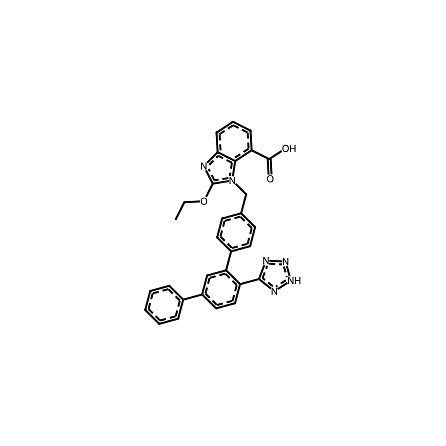 CCOc1nc2cccc(C(=O)O)c2n1Cc1ccc(-c2cc(-c3ccccc3)ccc2-c2nn[nH]n2)cc1